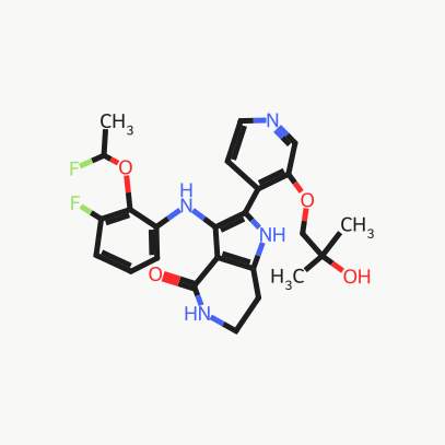 CC(F)Oc1c(F)cccc1Nc1c(-c2ccncc2OCC(C)(C)O)[nH]c2c1C(=O)NCC2